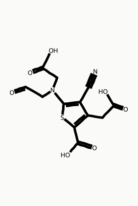 N#Cc1c(N(CC=O)CC(=O)O)sc(C(=O)O)c1CC(=O)O